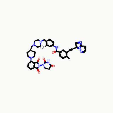 Cc1ccc(C(=O)Nc2ccc(CN3CCN(CC4CCN(c5cccc6c5C(=O)N(N5CCC(=O)NC5=O)C6=O)CC4)CC3)c(C(F)(F)F)c2)cc1C#Cc1cnc2cccnn12